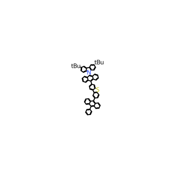 CC(C)(C)c1ccc2c(c1)c1cc(C(C)(C)C)ccc1n2-c1c2ccccc2c(-c2ccc3c(c2)sc2ccc(-c4c5ccccc5c(-c5ccccc5)c5ccccc45)cc23)c2ccccc12